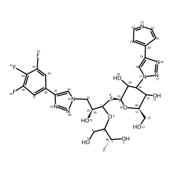 C[C@@H](O)C(CO)OC(S[C@@H]1O[C@H](CO)C(O)C(n2cc(-c3ccncc3)nn2)C1O)[C@@H](O)Cn1cc(-c2cc(F)c(F)c(F)c2)nn1